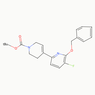 CC(C)(C)OC(=O)N1CC=C(c2ccc(F)c(OCc3ccccc3)n2)CC1